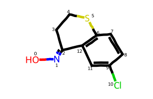 ON=C1CCSc2ccc(Cl)cc21